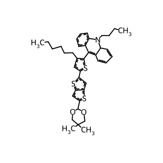 CCCCCCc1cc(-c2cc3sc(C4OCC(C)(C)CO4)cc3s2)sc1C1=C2C=CC=CC2N(CCCC)c2ccccc21